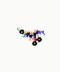 NC(=O)NC1=C(C(=O)OC(c2ccccc2)c2ccccc2)N2C(=O)C(NC(=O)CSc3cc(Cl)ccc3Cl)[C@@H]2SC1